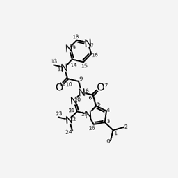 CC(C)c1cc2c(=O)n(CC(=O)N(C)c3ccncn3)nc(N(C)C)n2c1